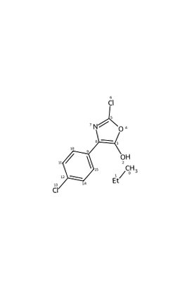 CCC.Oc1oc(Cl)nc1-c1ccc(Cl)cc1